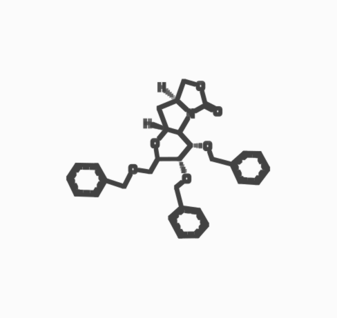 O=C1OC[C@@H]2C[C@H]3OC(COCc4ccccc4)[C@@H](OCc4ccccc4)[C@@H](OCc4ccccc4)C3N12